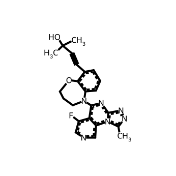 Cc1nnc2nc(N3CCCOc4c(C#CC(C)(C)O)cccc43)c3c(F)cncc3n12